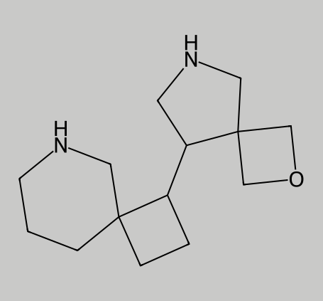 C1CNCC2(C1)CCC2C1CNCC12COC2